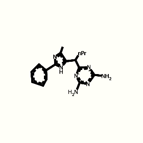 CCCC(c1nc(N)nc(N)n1)c1[nH]c(-c2ccccc2)nc1C